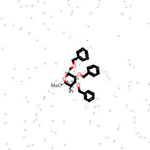 CO[C@@H]1O[C@H](COCc2ccccc2)[C@H](OCc2ccccc2)[C@H](OCc2ccccc2)[C@H]1C(C)C